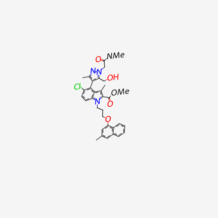 CNC(=O)Cn1nc(C)c(-c2c(Cl)ccc3c2c(C)c(C(=O)OC)n3CCCOc2cc(C)cc3ccccc23)c1CO